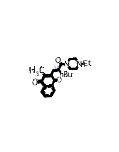 CCCC/C(=C\C1=C(C)C(=O)c2ccccc2C1=O)C(=O)N1CCN(CC)CC1